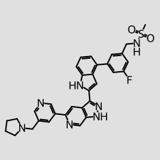 CS(=O)(=O)NCc1cc(F)cc(-c2cccc3[nH]c(-c4n[nH]c5cnc(-c6cncc(CN7CCCC7)c6)cc45)cc23)c1